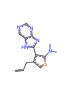 C=CCc1csc(N(C)C)c1-c1nc2ncncc2[nH]1